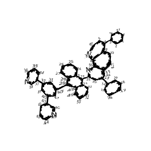 c1ccc(-c2ccnc3c2ccc2c(-c4ccccc4)cc(-c4c5ccccc5c(-c5cc(-c6cccnc6)cc(-c6cccnc6)c5)c5ccccc45)nc23)cc1